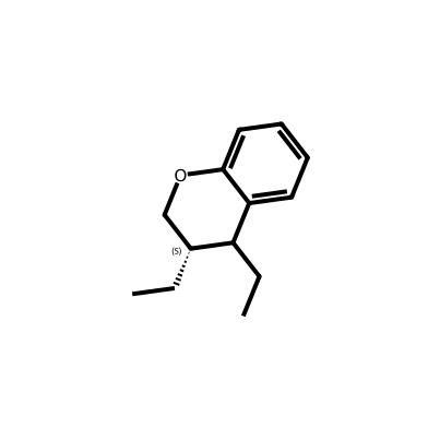 CCC1c2ccccc2OC[C@H]1CC